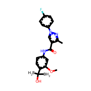 BC(B)(O)c1ccc(NC(=O)c2cn(-c3ccc(F)cc3)nc2C)cc1OC